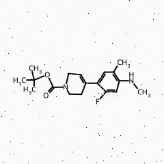 CNc1cc(F)c(C2=CCN(C(=O)OC(C)(C)C)CC2)cc1C